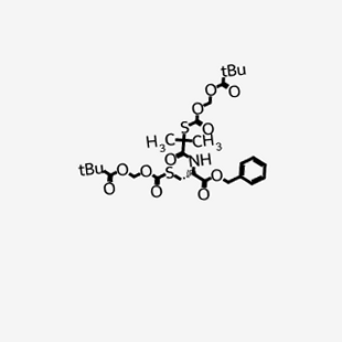 CC(C)(C)C(=O)OCOC(=O)SC[C@H](NC(=O)C(C)(C)SC(=O)OCOC(=O)C(C)(C)C)C(=O)OCc1ccccc1